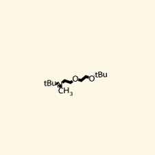 CN(CCOCCOC(C)(C)C)C(C)(C)C